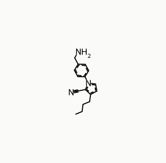 CCCCc1ccn(-c2ccc(CN)cc2)c1C#N